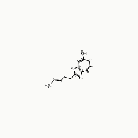 CCCCCC1=NC2=C(C=C(O)CC=C2)C1